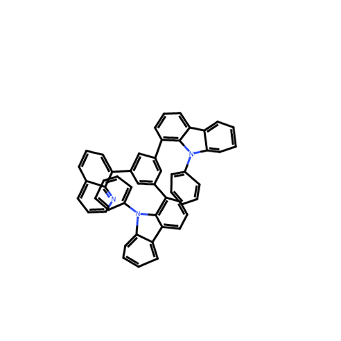 c1ccc(-n2c3ccccc3c3cccc(-c4cc(-c5cccc6cccnc56)cc(-c5cccc6c7ccccc7n(-c7ccccc7)c56)c4)c32)cc1